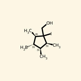 B[C@H]1[C@H](C)[C@H](C)C(I)(CO)[C@@H]1C